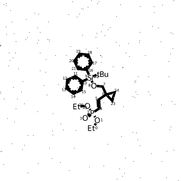 CCOP(=O)(/C=C/C1(CO[Si](c2ccccc2)(c2ccccc2)C(C)(C)C)CC1)OCC